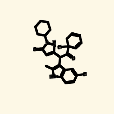 Cc1[nH]c2ccc(Cl)cc2c1C(C(=O)C1(Cl)C=CC=CC1)c1cc(=O)n(C2CCCCC2)[nH]1